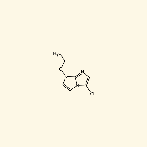 CCOn1ccn2c(Cl)cnc12